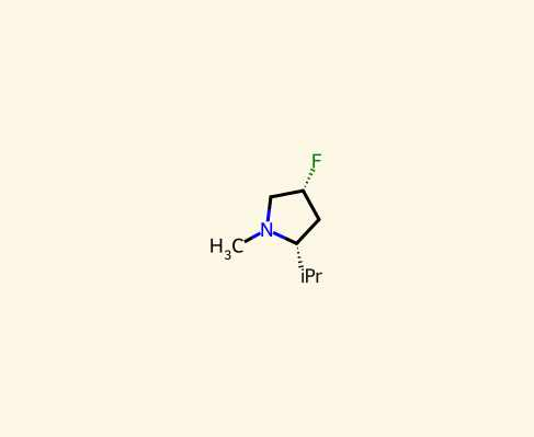 CC(C)[C@H]1C[C@@H](F)CN1C